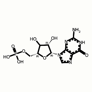 Nc1nc2c(ncn2[C@@H]2O[C@H](COP(=O)(O)O)C(O)[C@@H]2O)c(=O)[nH]1